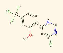 COc1cc(C(F)(F)F)ccc1-c1cc(Cl)ncn1